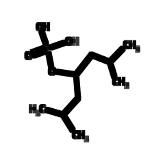 CC(C)CC(CC(C)C)OP(=O)(O)O